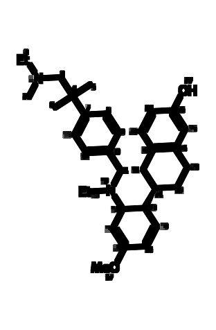 CCN(C)CC(C)(C)c1ccc(CN(CC)C2C=C(OC)C=CC2[C@@H]2CCc3cc(O)ccc3C2)cc1